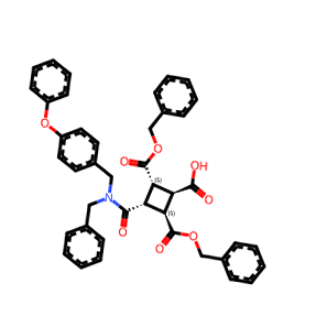 O=C(OCc1ccccc1)[C@@H]1[C@H](C(=O)O)[C@@H](C(=O)OCc2ccccc2)[C@H]1C(=O)N(Cc1ccccc1)Cc1ccc(Oc2ccccc2)cc1